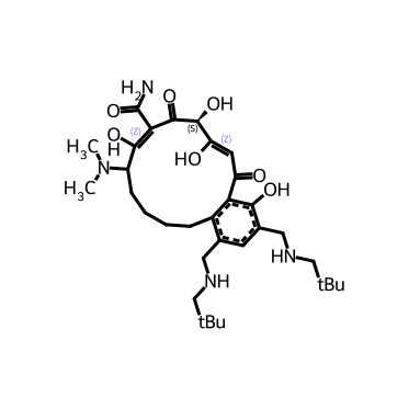 CN(C)C1CCCCc2c(CNCC(C)(C)C)cc(CNCC(C)(C)C)c(O)c2C(=O)/C=C(\O)[C@H](O)C(=O)/C(C(N)=O)=C\1O